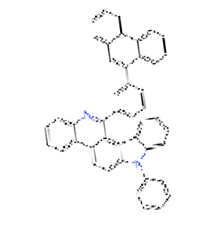 c1ccc(-n2c3ccccc3c3c4c(-c5cccc(-c6cc7ccccc7c7ccccc67)c5)nc5ccccc5c4ccc32)cc1